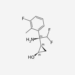 Cc1c(F)cccc1[C@](N)(C(F)F)[C@H]1C[C@H]1O